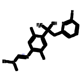 CCN(C)/C=N/c1cc(C)c(C(O)(Cc2cccc(F)n2)C(F)(F)F)cc1C